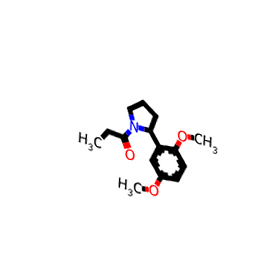 CCC(=O)N1CCCC1c1cc(OC)ccc1OC